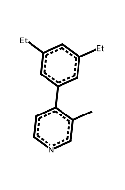 CCc1cc(CC)cc(-c2ccncc2C)c1